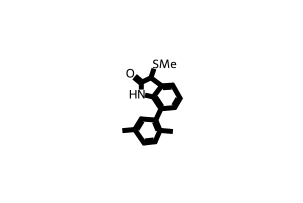 CSC1C(=O)Nc2c(-c3cc(C)ccc3C)cccc21